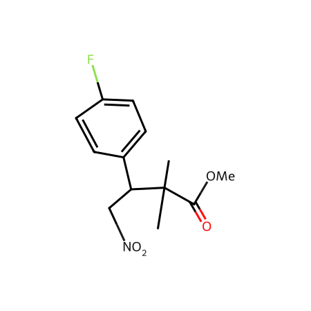 COC(=O)C(C)(C)C(C[N+](=O)[O-])c1ccc(F)cc1